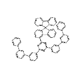 c1ccc(-c2cccc(-c3cccc(-c4nc(-c5cccc(-c6cccc(-c7ccccc7)c6)c5)nc(-c5cccc6c5-c5ccccc5C65c6ccccc6-c6ccccc65)n4)c3)c2)cc1